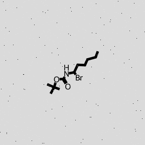 CCCCCC(Br)NC(=O)OC(C)(C)C